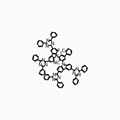 N#Cc1c(-n2c3ccc(-c4nc(-c5ccccc5)nc(-c5ccccc5)n4)cc3c3cc(-c4nc(-c5ccccc5)nc(-c5ccccc5)n4)ccc32)cc(-c2ccccc2C(F)(F)F)cc1-n1c2ccc(-c3nc(-c4ccccc4)nc(-c4ccccc4)n3)cc2c2cc(-c3nc(-c4ccccc4)nc(-c4ccccc4)n3)ccc21